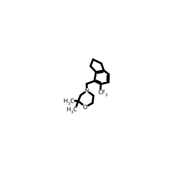 CC1(C)CN(Cc2c(C(F)(F)F)ccc3c2CCC3)CCO1